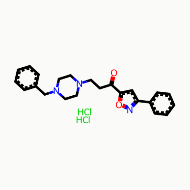 Cl.Cl.O=C(CCN1CCN(Cc2ccccc2)CC1)c1cc(-c2ccccc2)no1